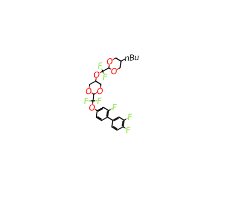 CCCCC1COC(C(F)(F)OC2COC(C(F)(F)Oc3ccc(-c4ccc(F)c(F)c4)c(F)c3)OC2)OC1